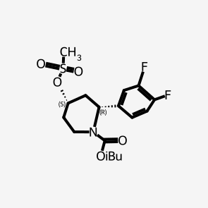 CC(C)COC(=O)N1CC[C@H](OS(C)(=O)=O)C[C@@H]1c1ccc(F)c(F)c1